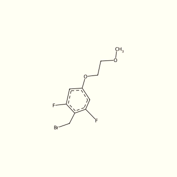 COCCOc1cc(F)c(CBr)c(F)c1